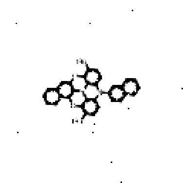 CC(C)(C)c1ccc2c3c1Oc1cc4ccccc4c4c1[Si]3(C)c1c(ccc(C(C)(C)C)c1O4)N2c1ccc2ccccc2c1